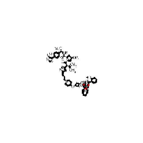 Cc1ncsc1-c1ccc([C@H](C)NC(=O)[C@@H]2C[C@@H](O)CN2C(=O)[C@H](c2cc(CCCN3CCC(O[C@H]4C[C@H](Oc5cc(N6C7CCC6CN(c6cc(-c8ccccc8O)nnc6N)C7)ccn5)C4)CC3)no2)C(C)C)cc1